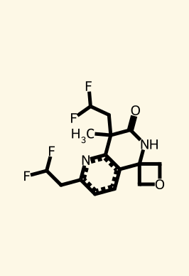 CC1(CC(F)F)C(=O)NC2(COC2)c2ccc(CC(F)F)nc21